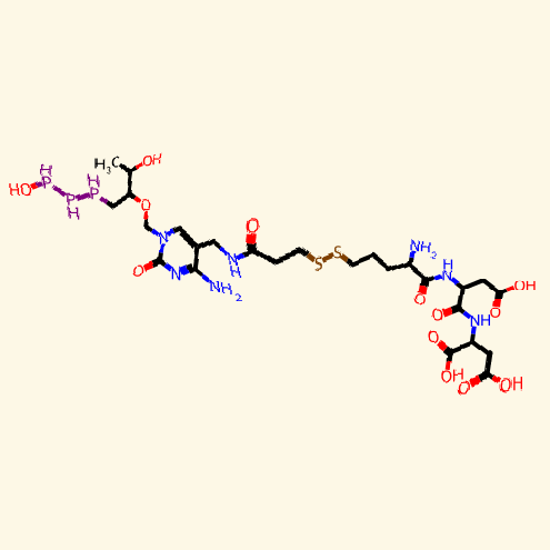 CC(O)C(CPPPO)OCn1cc(CNC(=O)CCSSCCCC(N)C(=O)NC(CC(=O)O)C(=O)NC(CC(=O)O)C(=O)O)c(N)nc1=O